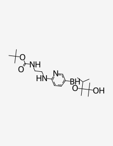 CC(C)C(C)(OBc1ccc(NCCNC(=O)OC(C)(C)C)nc1)C(C)(C)O